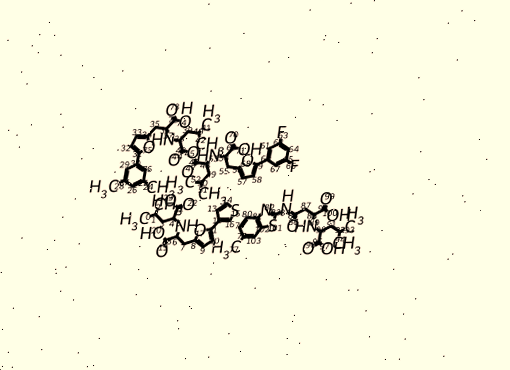 CC(C)CC(NC(Cc1ccc(-c2ccsc2)o1)C(=O)O)C(=O)O.Cc1cc(C)cc(-c2ccc(CC(NC(CC(C)C)C(=O)OC(=O)C(CC(C)C)NC(Cc3ccc(-c4cc(F)cc(F)c4)o3)C(=O)O)C(=O)O)o2)c1.Cc1ccc2nc(NC(=O)CC(NC(CC(C)C)C(=O)O)C(=O)O)sc2c1